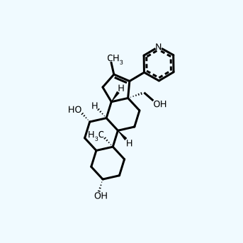 CC1=C(c2cccnc2)[C@@]2(CO)CC[C@H]3[C@@H]([C@@H](O)CC4C[C@@H](O)CC[C@@]43C)[C@@H]2C1